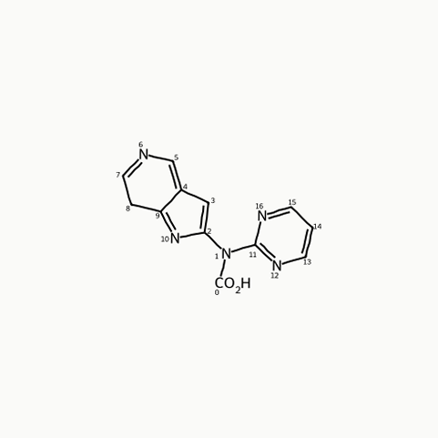 O=C(O)N(C1=CC2=CN=CCC2=N1)c1ncccn1